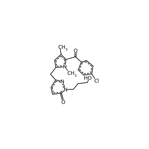 Cc1cc(Cc2ccc(=O)n(CCCO)n2)n(C)c1C(=O)c1ccc(Cl)cc1